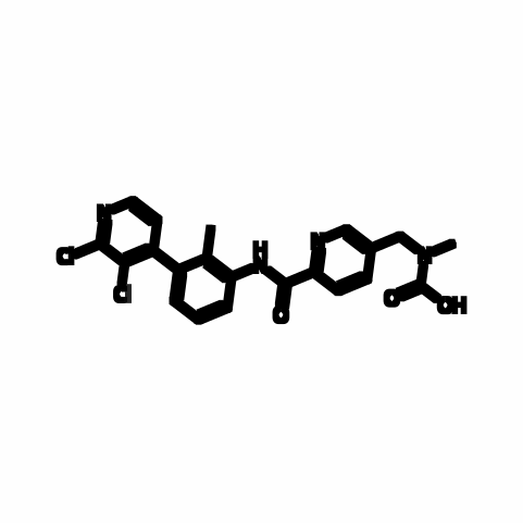 Cc1c(NC(=O)c2ccc(CN(C)C(=O)O)cn2)cccc1-c1ccnc(Cl)c1Cl